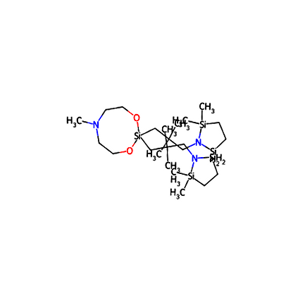 CN1CCO[Si](CC(C)(C)CN2[SiH2]CC[Si]2(C)C)(CC(C)(C)CN2[SiH2]CC[Si]2(C)C)OCC1